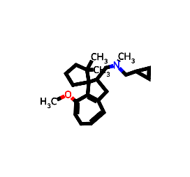 COC1=CCC=CC2=C1C1(CCCC1(C)C)C(CN(C)CC1CC1)C2